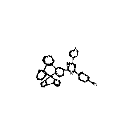 N#Cc1ccc(-c2cc(-c3ccncc3)nc(-c3ccc4c(c3)-c3ccccc3-c3ccccc3C43c4ccccc4-c4ccccc43)n2)cc1